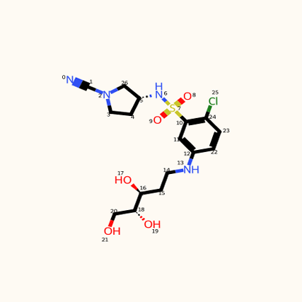 N#CN1CC[C@@H](NS(=O)(=O)c2cc(NCC[C@H](O)[C@H](O)CO)ccc2Cl)C1